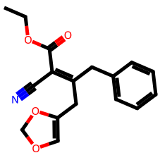 CCOC(=O)C(C#N)=C(CC1=COCO1)Cc1ccccc1